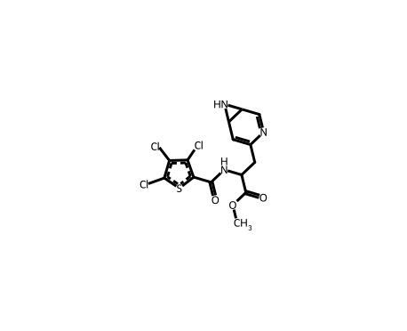 COC(=O)C(CC1=CC2NC2C=N1)NC(=O)c1sc(Cl)c(Cl)c1Cl